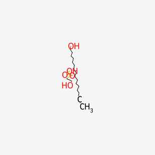 CCCCCCCCCCCCCCCCCCO.O=S(=O)(O)CCO